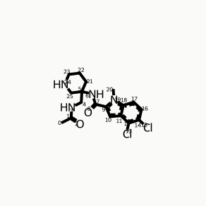 CC(=O)NCC1(NC(=O)c2cc3c(Cl)c(Cl)ccc3n2C)CCCNC1